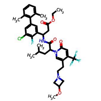 CCOC(=O)CC(NC(=O)C(CC(C)C)n1cc(CCN2CC(OC)C2)c(C(F)(F)F)cc1=O)c1cc(-c2c(C)cccc2C)cc(Cl)c1F